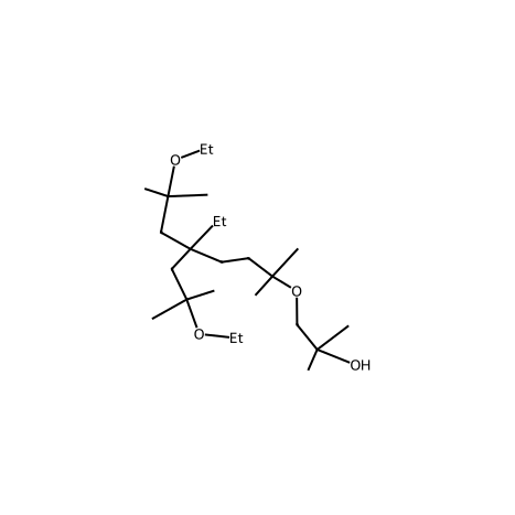 CCOC(C)(C)CC(CC)(CCC(C)(C)OCC(C)(C)O)CC(C)(C)OCC